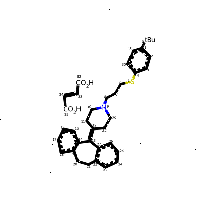 CC(C)(C)c1ccc(SCCCN2CCC(=C3c4ccccc4CCc4ccccc43)CC2)cc1.O=C(O)C=CC(=O)O